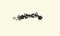 CS(=O)(=O)c1ccc(-c2cnc(COC3CCN(C(=O)OCc4ccccc4)CC3)cn2)cc1